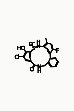 Cc1cc(F)c2cc1N[S+]([O-])c1cc(cc(Cl)c1O)C(=O)NCc1ccccc1-2